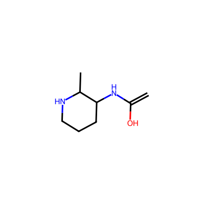 C=C(O)NC1CCCNC1C